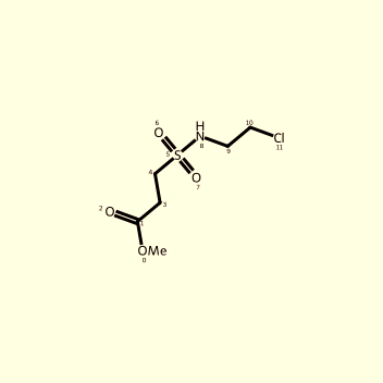 COC(=O)CCS(=O)(=O)NCCCl